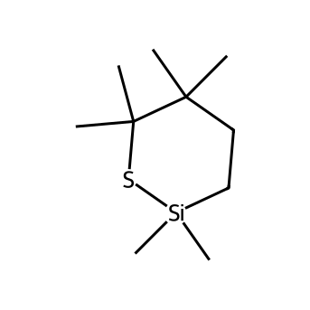 CC1(C)CC[Si](C)(C)SC1(C)C